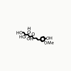 COc1cc(C=CCC(=O)[C@H](O)[C@@H](O)[C@H](O)CO)ccc1O